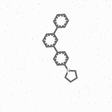 c1ccc(-c2cccc(-c3ccc(N4CCCC4)cc3)c2)cc1